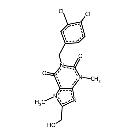 Cn1c(CO)nc2c1c(=O)n(Cc1ccc(Cl)c(Cl)c1)c(=O)n2C